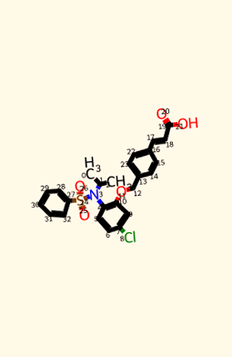 CC(C)N(c1ccc(Cl)cc1OCc1ccc(C=CC(=O)O)cc1)S(=O)(=O)c1ccccc1